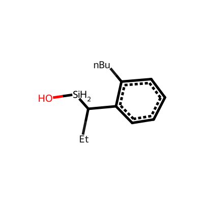 CCCCc1ccccc1C(CC)[SiH2]O